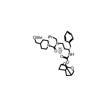 COCC1CCN(C(=O)N(CC(C)C)C[C@@H](O)[C@H](Cc2ccccc2)NC(=O)OC2C3COC4OC2CC4C3)CC1